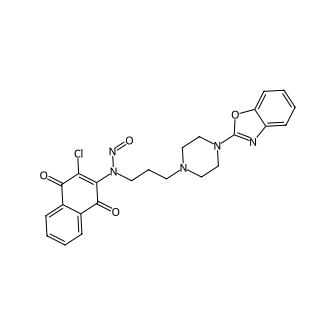 O=NN(CCCN1CCN(c2nc3ccccc3o2)CC1)C1=C(Cl)C(=O)c2ccccc2C1=O